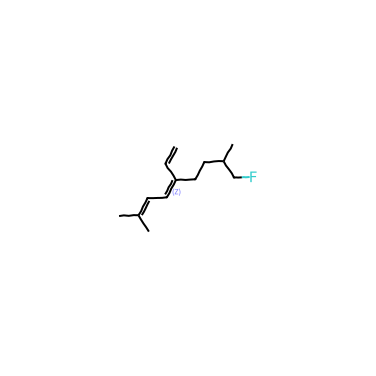 C=C/C(=C\C=C(C)C)CCC(C)CF